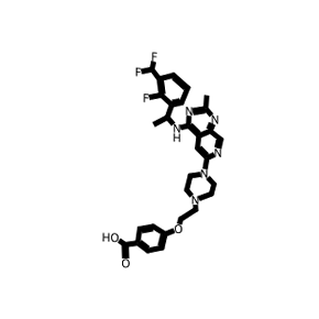 Cc1nc(NC(C)c2cccc(C(F)F)c2F)c2cc(N3CCN(CCOc4ccc(C(=O)O)cc4)CC3)ncc2n1